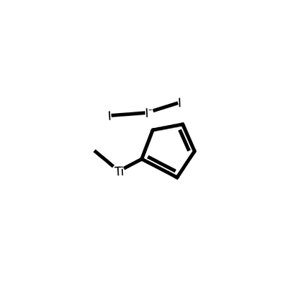 I[I-]I.[CH3][Ti][C]1=CC=CC1